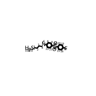 CCC[SiH2]CCCN(C)c1ccc(S(=O)(=O)c2ccc(F)cc2)cc1